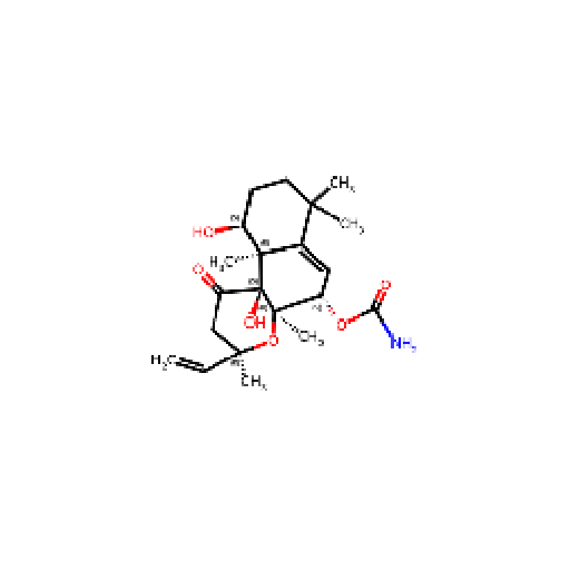 C=C[C@@]1(C)CC(=O)[C@@]2(O)[C@](C)(O1)[C@@H](OC(N)=O)C=C1C(C)(C)CC[C@H](O)[C@@]12C